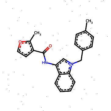 Cc1ccc(Cn2cc(NC(=O)c3ccoc3C)c3ccccc32)cc1